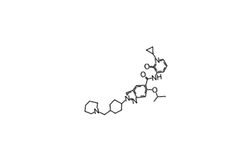 CC(C)Oc1cc2nn(C3CCC(CN4CCCCC4)CC3)cc2cc1C(=O)Nc1cccn(C2CC2)c1=O